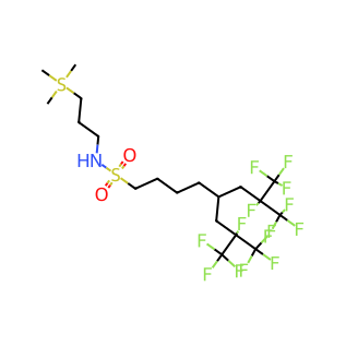 CS(C)(C)CCCNS(=O)(=O)CCCCC(CC(F)(C(F)(F)F)C(F)(F)F)CC(F)(C(F)(F)F)C(F)(F)F